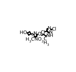 Cc1c([N+](=O)[O-])c(OCC[C@@H](C)Nc2nc(Cl)ncc2Cl)nn1C1CC(O)C1